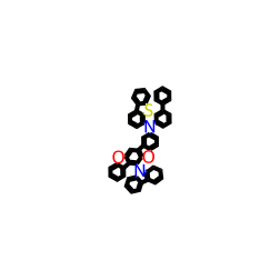 C1=Cc2c(n(-c3c4oc5ccc(N(c6cccc(-c7ccccc7)c6)c6cccc7c6sc6ccccc67)cc5c4cc4oc5ccccc5c34)c3ccccc23)CC1